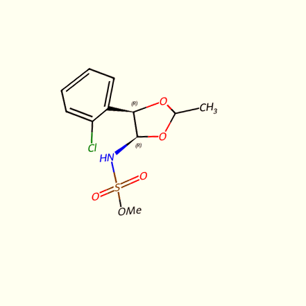 COS(=O)(=O)N[C@@H]1OC(C)O[C@@H]1c1ccccc1Cl